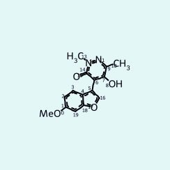 COc1ccc2c(-c3c(O)c(C)nn(C)c3=O)coc2c1